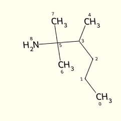 CCCC(C)C(C)(C)N